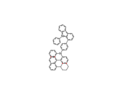 c1ccc(N(c2ccc(-c3cccc4c5ccccc5n(-c5ccccc5)c34)cc2)c2ccccc2-c2cccc3cccc(C4CCCCC4)c23)cc1